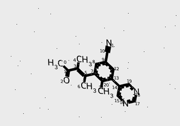 CC(=O)/C(C)=C(\C)c1cc(C#N)cc(-c2cncnc2)c1C